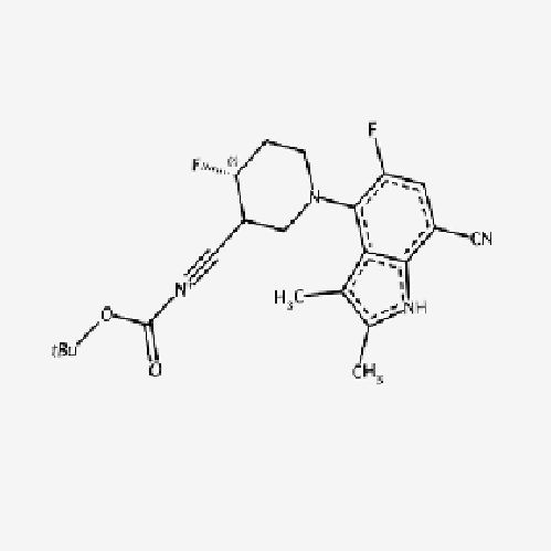 Cc1[nH]c2c(C#N)cc(F)c(N3CC[C@@H](F)C(C#[N+]C(=O)OC(C)(C)C)C3)c2c1C